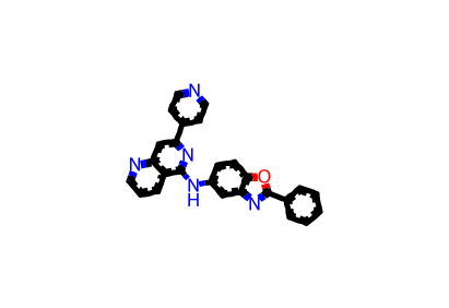 c1ccc(-c2nc3cc(Nc4nc(-c5ccncc5)cc5ncccc45)ccc3o2)cc1